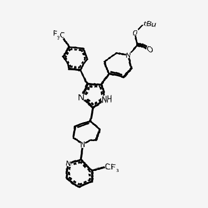 CC(C)(C)OC(=O)N1CC=C(c2[nH]c(C3=CCN(c4ncccc4C(F)(F)F)CC3)nc2-c2ccc(C(F)(F)F)cc2)CC1